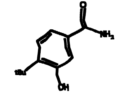 CC(C)(C)c1ccc(C(N)=O)cc1O